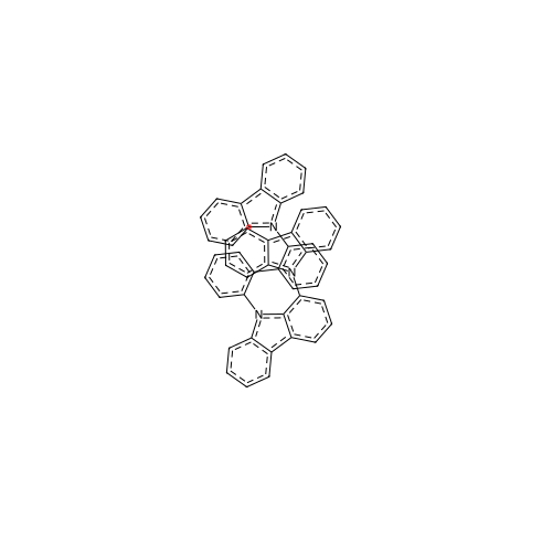 c1ccc(-n2c3ccccc3c3ccccc32)c(-c2ccccc2-n2c3ccccc3c3cccc(-n4c5ccccc5c5ccccc54)c32)c1